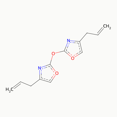 C=CCc1coc(Oc2nc(CC=C)co2)n1